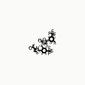 CC(=O)c1csc(-c2ccc(C(F)(F)F)cc2CN2C(=O)O[C@H](c3cc(C)cc(C(F)(F)F)c3)[C@@H]2C)n1